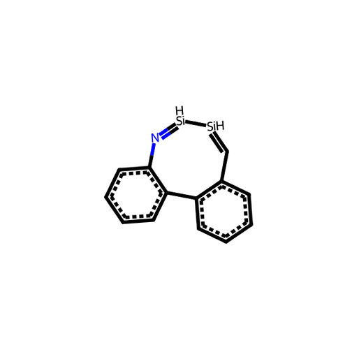 C1=[SiH]\[SiH]=N/c2ccccc2-c2ccccc2/1